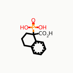 O=C(O)C1(P(=O)(O)O)CCCc2ccccc21